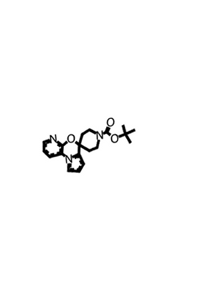 CC(C)(C)OC(=O)N1CCC2(CC1)Oc1ncccc1-n1cccc12